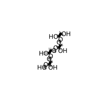 OCC(O)OOCC(O)OOCC(O)OOCC(O)OO